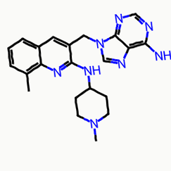 Cc1cccc2cc(Cn3cnc4c(N)ncnc43)c(NC3CCN(C)CC3)nc12